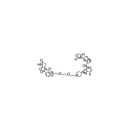 O=C1CCC(N2C(=O)c3cccc(NCCCOCCCOCCCN4CCC(n5cc(NC(=O)c6cnn7ccc(N8C[C@H]9C[C@@H]8CO9)nc67)c(C(F)F)n5)CC4)c3C2=O)C(=O)N1